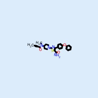 CC#CC(=O)N(C)C1CCN(c2nc(-c3ccc(Oc4ccccc4)cc3)c(C(N)=O)s2)CC1